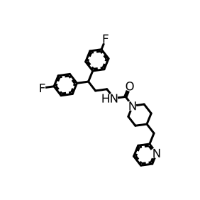 O=C(NCCC(c1ccc(F)cc1)c1ccc(F)cc1)N1CCC(Cc2ccccn2)CC1